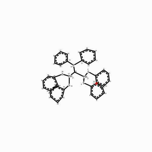 c1ccc(S[PH2](Sc2ccccc2)C(P(c2ccccc2)c2ccccc2)[PH2](Sc2ccccc2)Sc2ccccc2)cc1